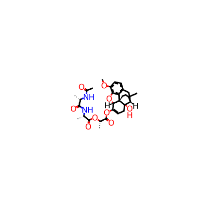 COc1ccc2c3c1O[C@H]1C(OC(=O)[C@H](C)OC(=O)[C@H](C)NC(=O)[C@H](C)NC(C)=O)=CC[C@@]4(O)[C@@H](C2)C(C)CC[C@]314